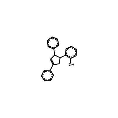 Oc1ccccc1C1CC(c2ccccc2)=CC1c1ccccc1